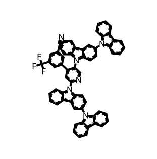 N#Cc1cc(-c2cc(-n3c4ccccc4c4cc(-n5c6ccccc6c6ccccc65)ccc43)ncc2-n2c3ccccc3c3cc(-n4c5ccccc5c5ccccc54)ccc32)cc(C(F)(F)F)c1